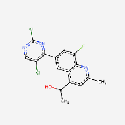 Cc1cc(C(C)O)c2cc(-c3nc(Cl)ncc3Cl)cc(F)c2n1